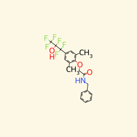 Cc1cc(C(F)(F)C(O)(F)C(F)(F)F)cc(C)c1OCC(=O)NCc1ccccc1